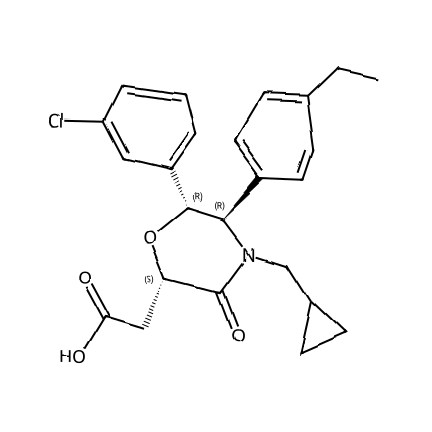 CCc1ccc([C@@H]2[C@@H](c3cccc(Cl)c3)O[C@@H](CC(=O)O)C(=O)N2CC2CC2)cc1